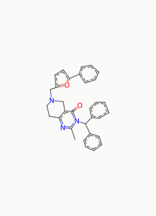 Cc1nc2c(c(=O)n1C(c1ccccc1)c1ccccc1)CN(Cc1ccc(-c3ccccc3)o1)CC2